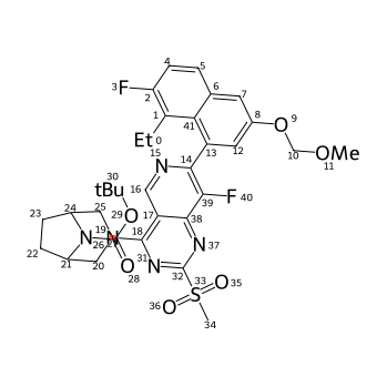 CCc1c(F)ccc2cc(OCOC)cc(-c3ncc4c(N5CC6CCC(C5)N6C(=O)OC(C)(C)C)nc(S(C)(=O)=O)nc4c3F)c12